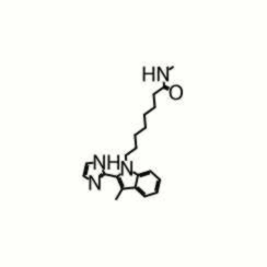 CNC(=O)CCCCCCCn1c(-c2ncc[nH]2)c(C)c2ccccc21